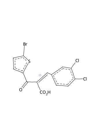 O=C(O)/C(=C\c1ccc(Cl)c(Cl)c1)C(=O)c1ccc(Br)s1